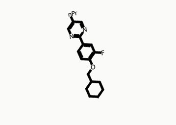 CCCc1cnc(-c2ccc(OCC3CC[CH]CC3)c(F)c2)nc1